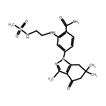 CC1(C)CC(=O)c2c(C(F)(F)F)nn(-c3ccc(C(N)=O)c(NCCNS(C)(=O)=O)c3)c2C1